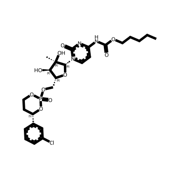 CCCCCOC(=O)Nc1ccn([C@@H]2O[C@H](COP3(=O)OCC[C@@H](c4cccc(Cl)c4)O3)[C@@H](O)[C@@]2(C)O)c(=O)n1